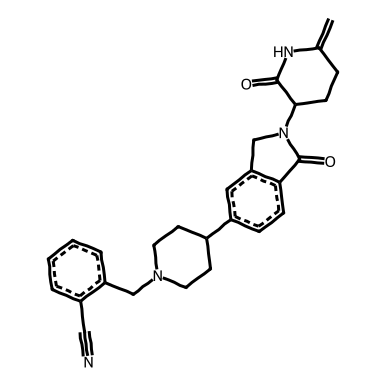 C=C1CCC(N2Cc3cc(C4CCN(Cc5ccccc5C#N)CC4)ccc3C2=O)C(=O)N1